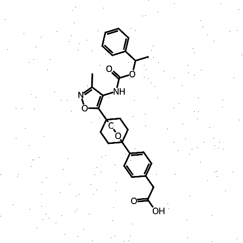 Cc1noc(C23CCC(c4ccc(CC(=O)O)cc4)(CC2)OC3)c1NC(=O)OC(C)c1ccccc1